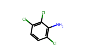 Nc1c(Cl)ccc(Cl)c1Cl